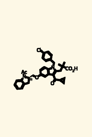 CC(=O)N1c2ccccc2C[C@H]1COc1ccc2c(c1)c(C(=O)C1CC1)c(CC(C)(C)C(=O)O)n2Cc1ccc(Cl)cc1